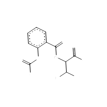 CC(=O)Oc1ccccc1C(=O)NC(C(=O)O)C(C)O